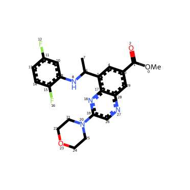 COC(=O)c1cc(C(C)Nc2cc(F)ccc2F)c2nc(N3CCOCC3)cnc2c1